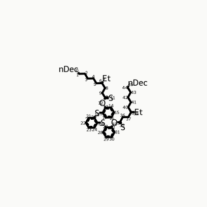 CCCCCCCCCCCCCCCC(CC)CCC(=S)Oc1ccccc1Sc1[c]cccc1Sc1ccccc1OC(=S)CCC(CC)CCCCCCCCCCCCCCC